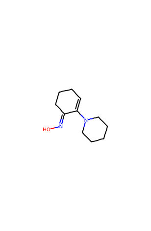 ON=C1CCCC=C1N1CCCCC1